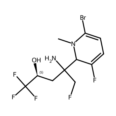 CN1C(Br)=CC=C(F)C1C(N)(CF)C[C@H](O)C(F)(F)F